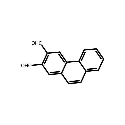 O=Cc1cc2ccc3ccccc3c2cc1C=O